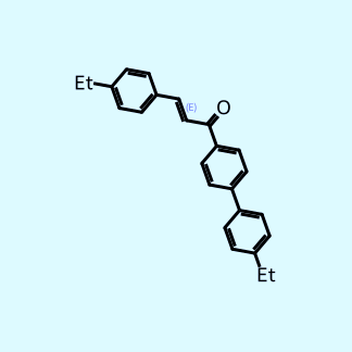 CCc1ccc(/C=C/C(=O)c2ccc(-c3ccc(CC)cc3)cc2)cc1